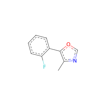 Cc1ncoc1-c1ccccc1F